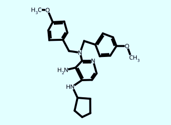 COc1ccc(CN(Cc2ccc(OC)cc2)c2nccc(NC3CCCC3)c2N)cc1